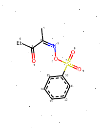 CCC(=O)C(C)=NOS(=O)(=O)c1ccccc1